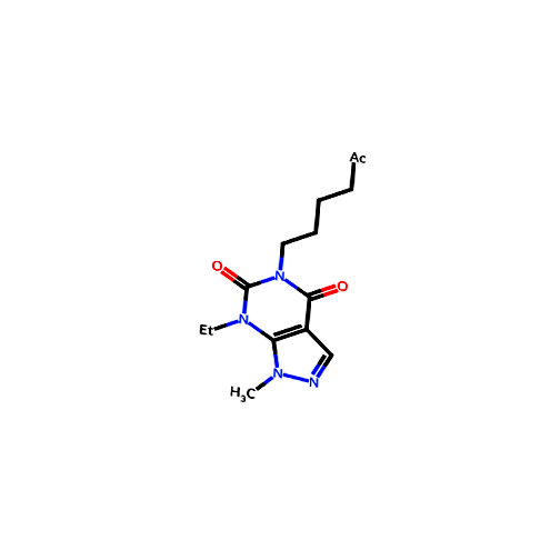 CCn1c(=O)n(CCCCC(C)=O)c(=O)c2cnn(C)c21